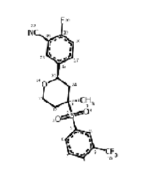 C[C@]1(S(=O)(=O)c2cccc(C(F)(F)F)c2)CCO[C@@H](c2ccc(F)c(C#N)c2)C1